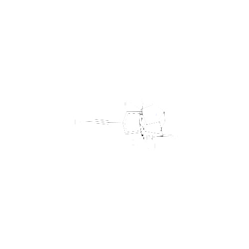 CC#Cc1cc(C)c(/C2=C3/CCC(CC)C(=C(C(C)C)O3)CNC2=O)c(Cl)c1